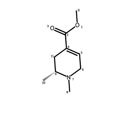 COC(=O)C1=CCN(C)[C@H](C)C1